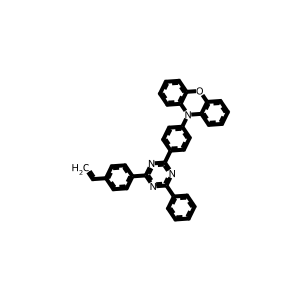 C=Cc1ccc(-c2nc(-c3ccccc3)nc(-c3ccc(N4c5ccccc5Oc5ccccc54)cc3)n2)cc1